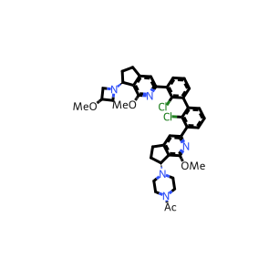 COc1nc(-c2cccc(-c3cccc(-c4cc5c(c(OC)n4)[C@@H](N4CC(OC)C4)CC5)c3Cl)c2Cl)cc2c1[C@H](N1CCN(C(C)=O)CC1)CC2